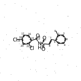 Cc1ccccc1C=CS(=O)(=O)NC(=O)c1ccc(Cl)cc1Cl